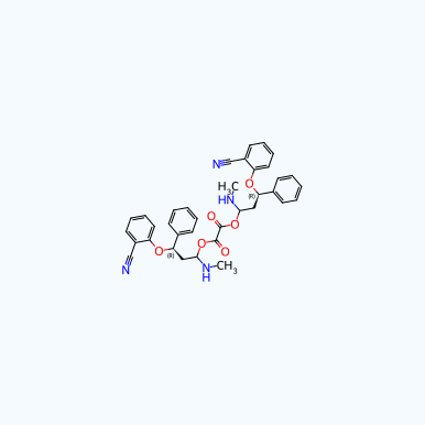 CNC(C[C@@H](Oc1ccccc1C#N)c1ccccc1)OC(=O)C(=O)OC(C[C@@H](Oc1ccccc1C#N)c1ccccc1)NC